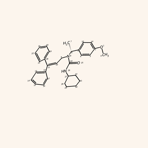 COc1ccc([C@@H](C)N(CC=C(c2ccccc2)c2ccccc2)C(=O)NC2CCCCC2)cc1